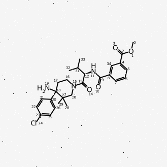 COC(=O)c1cccc(C(=O)N[C@@H](C(=O)N2CCC(N)(c3ccc(Cl)cc3)C(C)(C)C2)C(C)C)c1